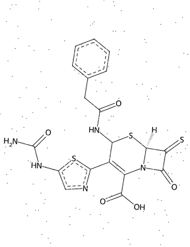 NC(=O)Nc1cnc(C2=C(C(=O)O)N3C(=O)C(=S)[C@@H]3SC2NC(=O)Cc2ccccc2)s1